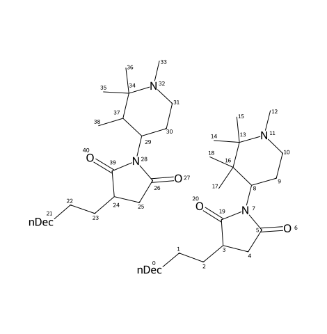 CCCCCCCCCCCCC1CC(=O)N(C2CCN(C)C(C)(C)C2(C)C)C1=O.CCCCCCCCCCCCC1CC(=O)N(C2CCN(C)C(C)(C)C2C)C1=O